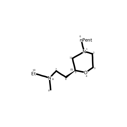 CCCCCN1CCO[C@@H](CCN(C)CC)C1